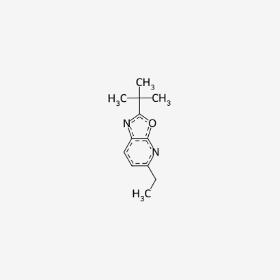 CCc1ccc2nc(C(C)(C)C)oc2n1